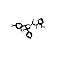 Cc1ccsc1NC(=O)N1CC(C)(c2ccccc2)C(c2ccc(Cl)cc2)=N1